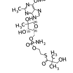 COc1nc(C)nc2c1ncn2[C@@H]1O[C@H](COP(N)(=O)OCCSC(=O)C(C)(C)CO)[C@H](O)C1(C)O